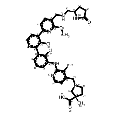 COc1nc(-c2ccnc(-c3cccc(Nc4nccc(CN5CC[C@](C)(C(=O)O)C5)c4F)c3Cl)c2Cl)ccc1CNC[C@H]1CCC(=O)N1